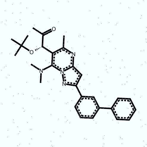 CC(=O)[C@@H](OC(C)(C)C)c1c(C)nc2cc(-c3cccc(-c4ccccc4)c3)nn2c1N(C)C